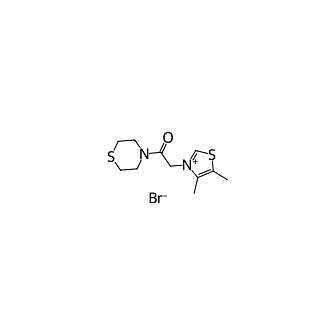 Cc1sc[n+](CC(=O)N2CCSCC2)c1C.[Br-]